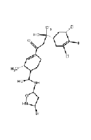 C[C@@H]1C=C(C(=O)CC(O)([C@H]2CC(Cl)=C(F)[C@@H](Cl)C2)C(F)(F)F)CCC1[C@H](O)NC1C[C@@H](Br)NO1